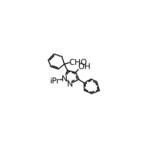 CC(C)n1nc(-c2ccccc2)c(O)c1C1(C=O)C=CC=CC1